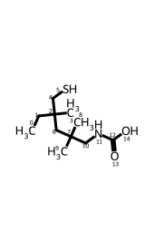 CCC(C)(CS)CC(C)(C)CNC(=O)O